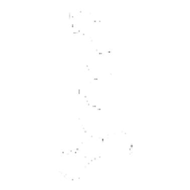 O=C(Nc1cccc(-c2nnco2)c1)NC1c2ccccc2-c2ccccc21